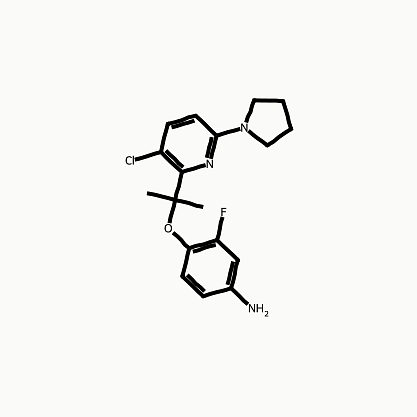 CC(C)(Oc1ccc(N)cc1F)c1nc(N2CCCC2)ccc1Cl